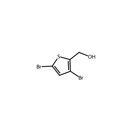 OCc1sc(Br)cc1Br